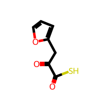 O=C(S)C(=O)Cc1ccco1